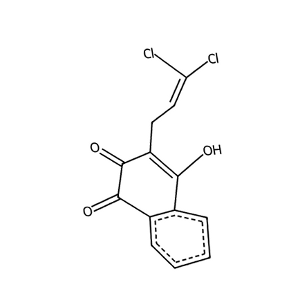 O=C1C(=O)c2ccccc2C(O)=C1CC=C(Cl)Cl